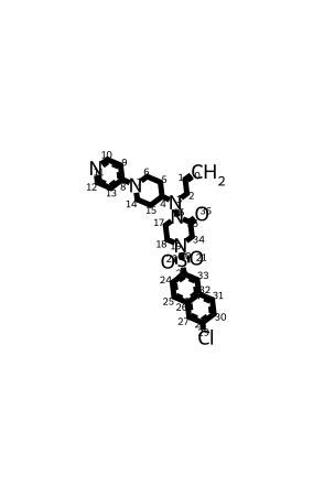 C=CCN(C1CCN(c2ccncc2)CC1)N1CCN(S(=O)(=O)c2ccc3cc(Cl)ccc3c2)CC1=O